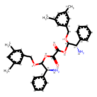 Cc1cc(C)cc(COC(OC(=O)C(=O)OC(OCc2cc(C)cc(C)c2)[C@@H](N)c2ccccc2)[C@@H](N)c2ccccc2)c1